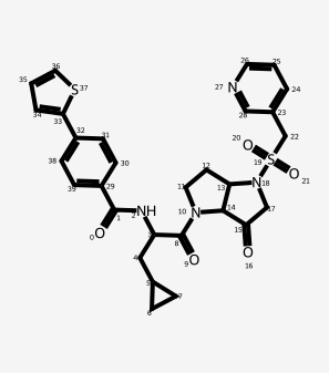 O=C(NC(CC1CC1)C(=O)N1CCC2C1C(=O)CN2S(=O)(=O)Cc1cccnc1)c1ccc(-c2cccs2)cc1